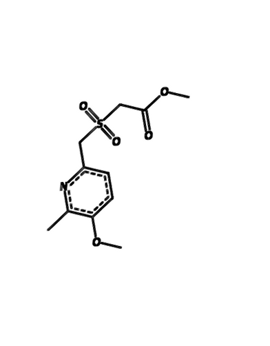 COC(=O)CS(=O)(=O)Cc1ccc(OC)c(C)n1